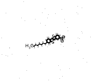 CCCCCCCCc1ccc2c(c1)sc1c3cc([N+](=O)[O-])ccc3sc21